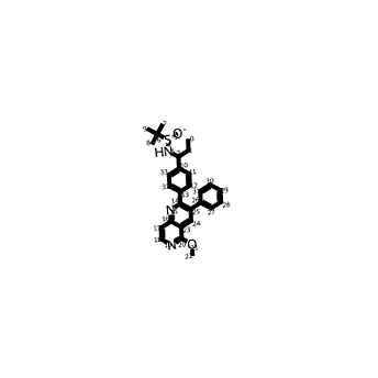 CCC(N[S+]([O-])C(C)(C)C)c1ccc(-c2nc3ccnc(OC)c3cc2-c2ccccc2)cc1